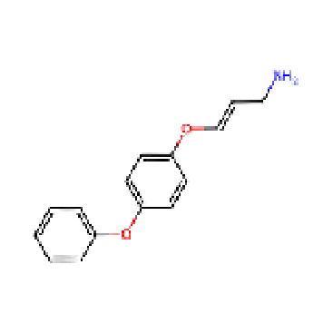 NCC=COc1ccc(Oc2ccccc2)cc1